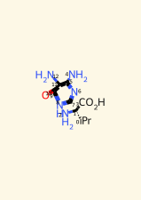 CC(C)[C@H](N)C(=O)O.Nc1nc[nH]c(=O)c1N